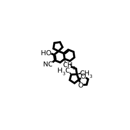 C[C@@H]1CCC2(OCCO2)[C@@]1(C)CC[C@H]1CCC=C2C3(CCCC3)C(O)=C(C#N)C[C@@]21C